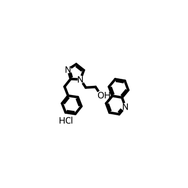 Cl.OCCn1ccnc1Cc1ccccc1.c1ccc2ncccc2c1